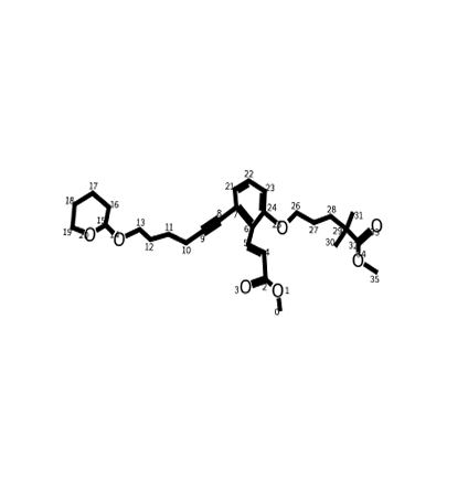 COC(=O)C=Cc1c(C#CCCCCOC2CCCCO2)cccc1OCCCC(C)(C)C(=O)OC